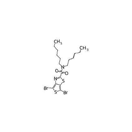 CCCCCCN(CCCCCC)S(=O)(=O)c1nc2c(Br)sc(Br)c2s1